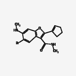 CNC(=O)c1c(C2=CCCC2)oc2cc(NC)c(Br)cc12